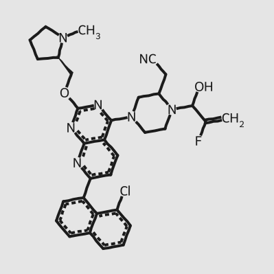 C=C(F)C(O)N1CCN(c2nc(OC[C@H]3CCCN3C)nc3nc(-c4cccc5cccc(Cl)c45)ccc23)CC1CC#N